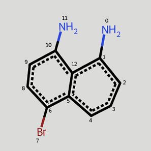 Nc1cccc2c(Br)ccc(N)c12